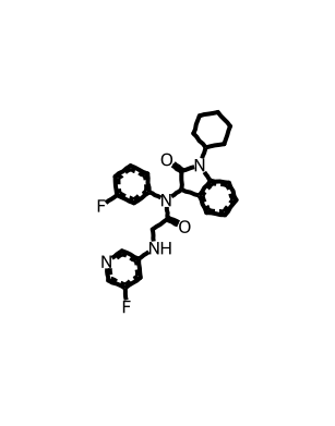 O=C1C(N(C(=O)CNc2cncc(F)c2)c2cccc(F)c2)c2ccccc2N1C1CCCCC1